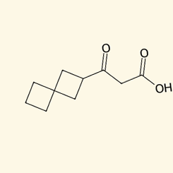 O=C(O)CC(=O)C1CC2(CCC2)C1